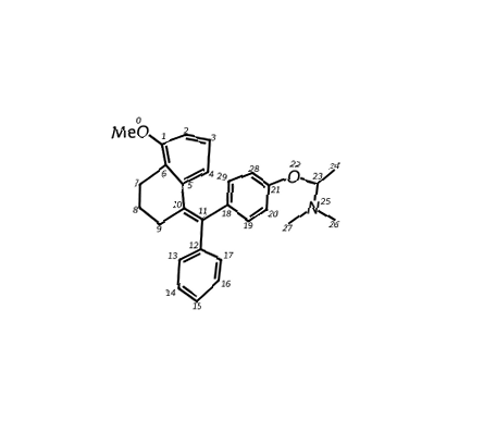 COc1cccc2c1CCCC2=C(c1ccccc1)c1ccc(OC(C)N(C)C)cc1